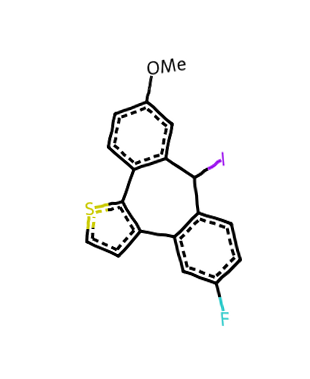 COc1ccc2c(c1)C(I)c1ccc(F)cc1-c1ccsc1-2